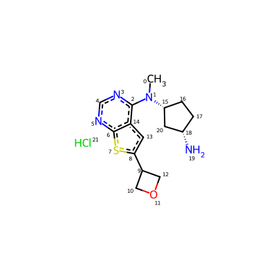 CN(c1ncnc2sc(C3COC3)cc12)[C@@H]1CC[C@H](N)C1.Cl